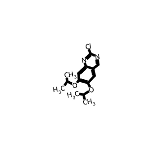 CC(C)Oc1cc2cnc(Cl)nc2cc1OC(C)C